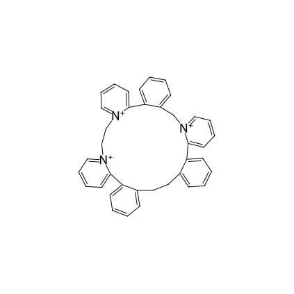 c1ccc2c(c1)CCc1ccccc1-c1cccc[n+]1Cc1ccccc1-c1cccc[n+]1CC[n+]1ccccc1-2